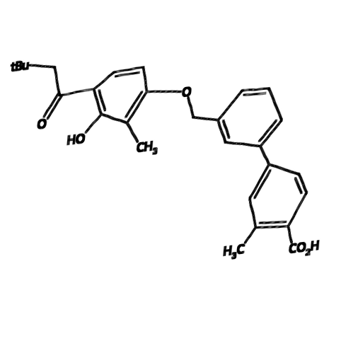 Cc1cc(-c2cccc(COc3ccc(C(=O)CC(C)(C)C)c(O)c3C)c2)ccc1C(=O)O